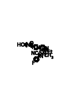 CCn1nc2ccc(N3CCN(CC(=O)N4CC(O)C4)CC3)nc2c1N(C)c1nc(-c2ccc(F)cc2)c(C#N)s1